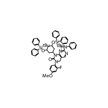 COc1ccc(N2Cc3cnc(Nc4ccccc4)nc3N(C3CC(O[Si](c4ccccc4)(c4ccccc4)C(C)(C)C)CC(O[Si](c4ccccc4)(c4ccccc4)C(C)(C)C)C3)C2=O)c(F)c1